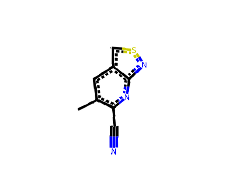 Cc1cc2[c]snc2nc1C#N